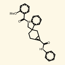 COc1ccccc1C(=O)NCC1(c2ccccc2)CCC2=C(C(=O)Nc3ccccc3)C2C1